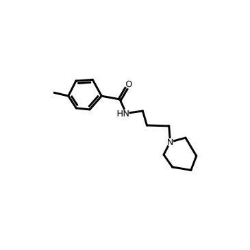 Cc1ccc(C(=O)NCCCN2CCCCC2)cc1